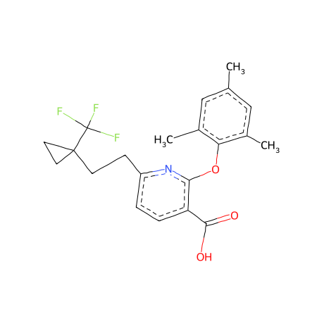 Cc1cc(C)c(Oc2nc(CCC3(C(F)(F)F)CC3)ccc2C(=O)O)c(C)c1